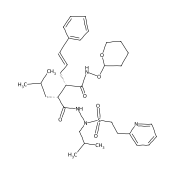 CC(C)C[C@@H](C(=O)NN(CC(C)C)S(=O)(=O)CCc1ccccn1)[C@H](CC=Cc1ccccc1)C(=O)NOC1CCCCO1